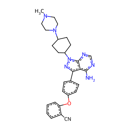 CN1CCN(C2CCC(n3nc(-c4ccc(Oc5ccccc5C#N)cc4)c4c(N)ncnc43)CC2)CC1